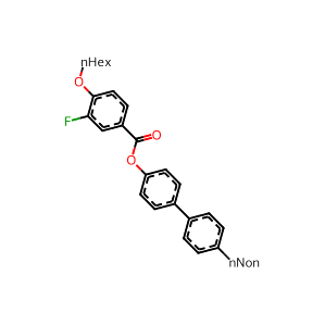 CCCCCCCCCc1ccc(-c2ccc(OC(=O)c3ccc(OCCCCCC)c(F)c3)cc2)cc1